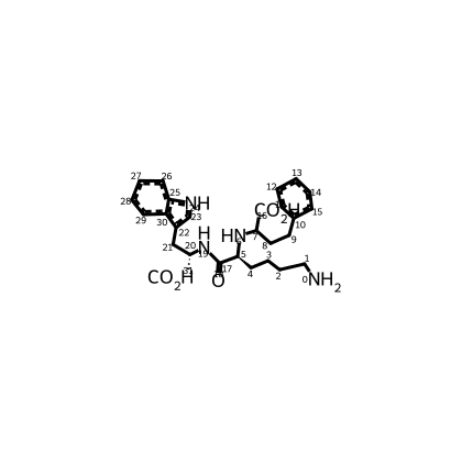 NCCCC[C@H](NC(CCc1ccccc1)C(=O)O)C(=O)N[C@@H](Cc1c[nH]c2ccccc12)C(=O)O